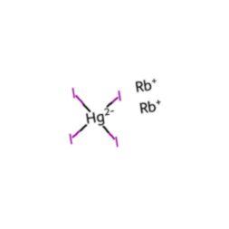 [I][Hg-2]([I])([I])[I].[Rb+].[Rb+]